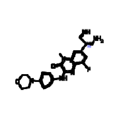 Cn1c(=O)c(Nc2ccc(N3CCOCC3)cc2)nc2c(F)cc(/C(C=N)=C/N)cc21